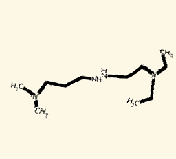 CCN(CC)CCNNCCCN(C)C